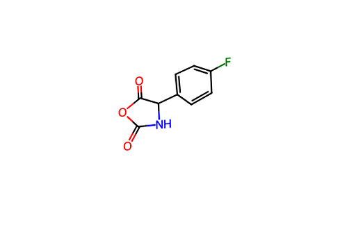 O=C1NC(c2ccc(F)cc2)C(=O)O1